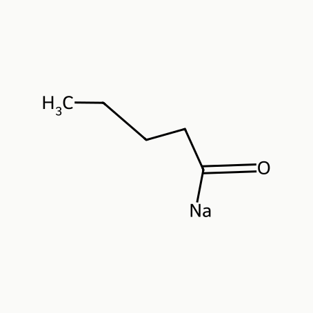 CCCC[C](=O)[Na]